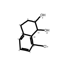 OC1CCc2cccc(Cl)c2C1O